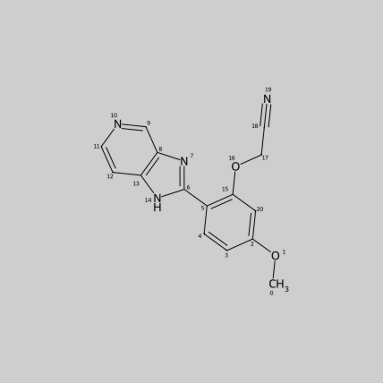 COc1ccc(-c2nc3cnccc3[nH]2)c(OCC#N)c1